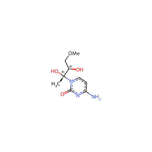 COC[C@@H](O)[C@@](C)(O)n1ccc(N)nc1=O